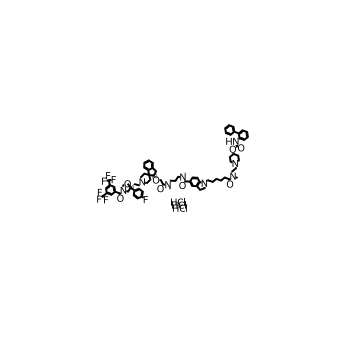 CN(CCN1CCC(OC(=O)Nc2ccccc2-c2ccccc2)CC1)C(=O)CCCCCN1CCc2cc(C(=O)N(C)CCCN(C)C(=O)CO[C@H]3Cc4ccccc4C34CCN(CC[C@]3(c5ccc(F)cc5)CN(C(=O)c5cc(C(F)(F)F)cc(C(F)(F)F)c5)CO3)CC4)ccc21.Cl.Cl.Cl